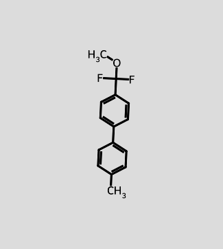 COC(F)(F)c1ccc(-c2ccc(C)cc2)cc1